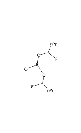 CCCC(F)OB([O])OC(F)CCC